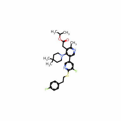 Cc1ncc(-c2cnc(SCCc3ccc(F)cc3)c(F)c2)c(N2CCC(C)(C)CC2)c1CC(=O)OC(C)C